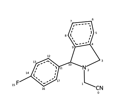 N#CCN1Cc2ccccc2C1c1ccc(F)cc1